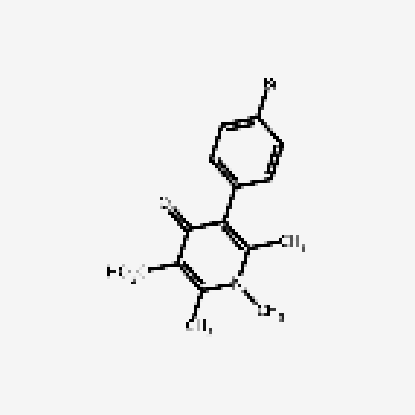 Cc1c(C(=O)O)c(=O)c(-c2ccc(Br)cc2)c(C)n1C